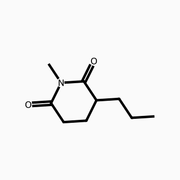 CCCC1CCC(=O)N(C)C1=O